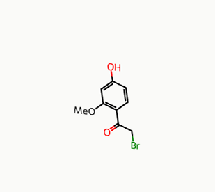 COc1cc(O)ccc1C(=O)CBr